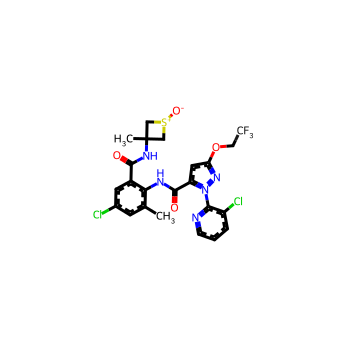 Cc1cc(Cl)cc(C(=O)NC2(C)C[S+]([O-])C2)c1NC(=O)c1cc(OCC(F)(F)F)nn1-c1ncccc1Cl